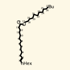 CCCCCCC=CCCCCCCCCCCCC(=O)OCCCCCCCCCCC(C)CC